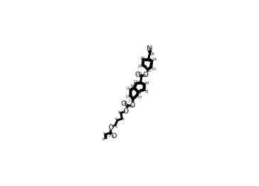 C=CC(=O)OCCCCOC(=O)Oc1ccc2cc(C(=O)Oc3ccc(C#N)cc3)ccc2c1